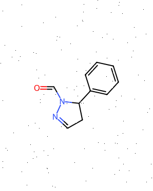 O=CN1N=CCC1c1ccccc1